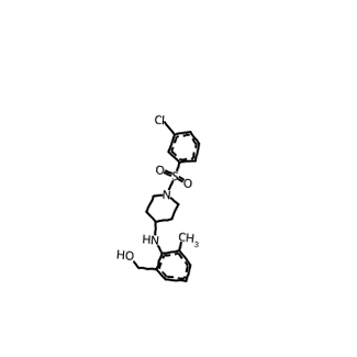 Cc1cccc(CO)c1NC1CCN(S(=O)(=O)c2cccc(Cl)c2)CC1